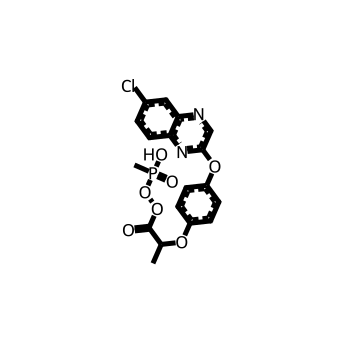 CC(Oc1ccc(Oc2cnc3cc(Cl)ccc3n2)cc1)C(=O)OOP(C)(=O)O